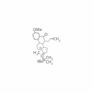 C=CCC1C(=O)c2cc(OC)ccc2C2CC[C@@]3(C)C(CC[C@@H]3O[Si](C)(C)C(C)(C)C)C12